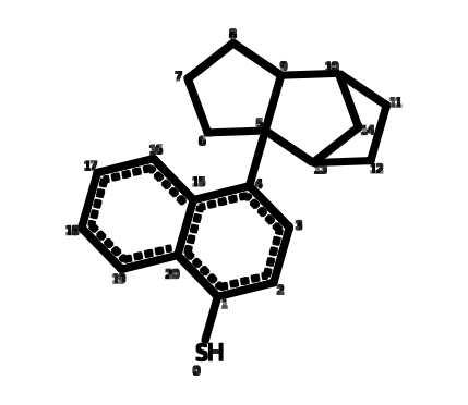 Sc1ccc(C23CCCC2C2CCC3C2)c2ccccc12